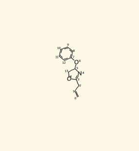 C=CCC1=NC(Oc2ccccc2)CO1